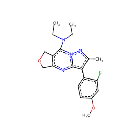 CCN(CC)c1c2c(nc3c(-c4ccc(OC)cc4Cl)c(C)nn13)COC2